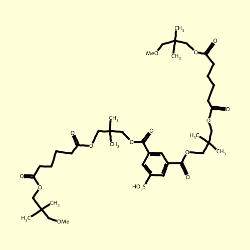 COCC(C)(C)COC(=O)CCCCC(=O)OCC(C)(C)COC(=O)c1cc(C(=O)OCC(C)(C)COC(=O)CCCCC(=O)OCC(C)(C)COC)cc(S(=O)(=O)O)c1